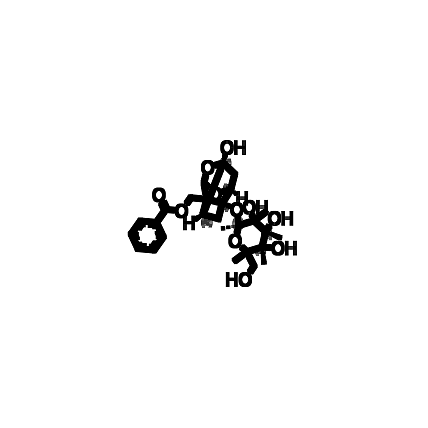 CC1(O)[C@](C)(O[C@@]23C[C@@H]4C2(COC(=O)c2ccccc2)C2O[C@H]3C[C@@]4(O)O2)OC(C)(CO)[C@@](C)(O)[C@@]1(C)O